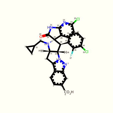 O=C(O)c1ccc2c3n(nc2c1)[C@@H]1[C@H](C3)N(CC2CC2)[C@@]2(C(=O)Nc3nc(Cl)ccc32)[C@H]1c1cccc(Cl)c1F